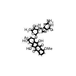 COc1cccc2c1C(=O)c1c(O)c3c(c(O)c1C2=O)C[C@@](O)(C(C)=O)C[C@@H]3OC1CC(Nn2cnc3c(=O)[nH]c(N)nc32)C(O)C(C)O1